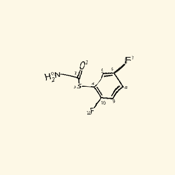 NC(=O)Sc1cc(F)ccc1F